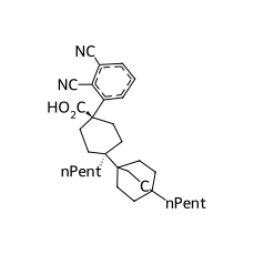 CCCCCC12CCC([C@]3(CCCCC)CC[C@@](C(=O)O)(c4cccc(C#N)c4C#N)CC3)(CC1)CC2